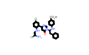 N/C(Cl)=C\Nc1ccc(Cl)cc1-c1cc(=O)n(C(Cc2ccccc2)Nc2ccc(C(=O)O)cc2)cn1